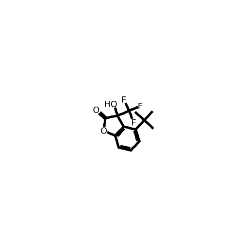 CC(C)(C)c1cccc2c1C(O)(C(F)(F)F)C(=O)O2